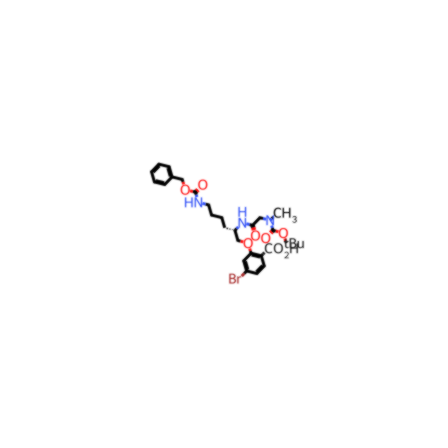 CN(CC(=O)N[C@@H](CCCCNC(=O)OCc1ccccc1)COc1cc(Br)ccc1C(=O)O)C(=O)OC(C)(C)C